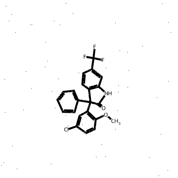 COc1ccc(Cl)cc1C1(c2ccccc2)C(=O)Nc2cc(C(F)(F)F)ccc21